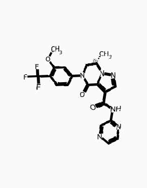 COc1cc(N2C[C@H](C)n3ncc(C(=O)Nc4cnccn4)c3C2=O)ccc1C(F)(F)F